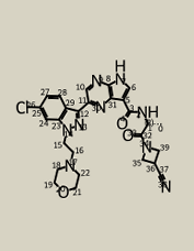 C[C@@H](NC(=O)c1c[nH]c2ncc(-c3nn(CCN4CCOCC4)c4cc(Cl)ccc34)nc12)C(=O)N1CC(C#N)C1